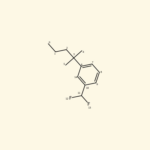 CCCC(C)(C)c1cccc(C(F)F)c1